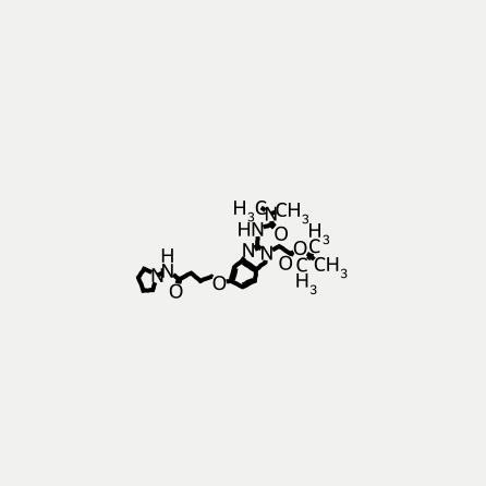 CN(C)C(=O)NC1=Nc2cc(OCCCC(=O)NN3CCCC3)ccc2CN1CC(=O)OC(C)(C)C